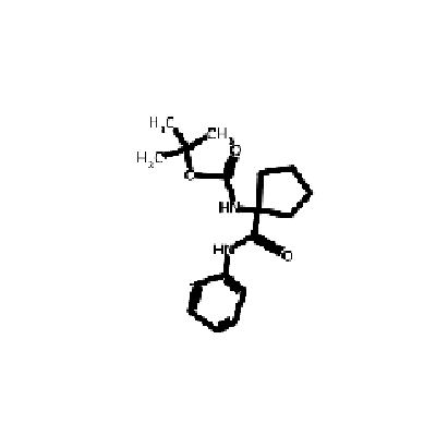 CC(C)(C)OC(=O)NC1(C(=O)Nc2[c]cccc2)CCCC1